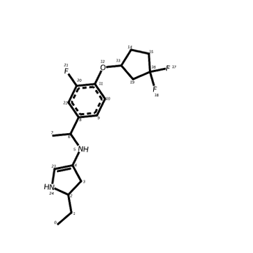 CCC1CC(NC(C)c2ccc(OC3CCC(F)(F)C3)c(F)c2)=CN1